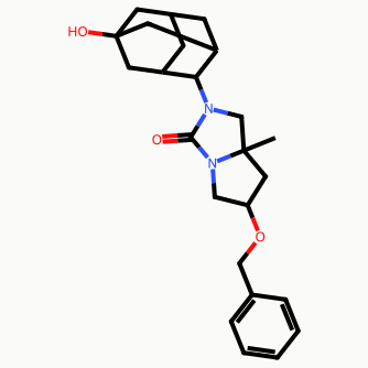 CC12CC(OCc3ccccc3)CN1C(=O)N(C1C3CC4CC1CC(O)(C4)C3)C2